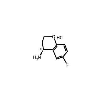 Cl.N[C@H]1CCOc2ccc(F)cc21